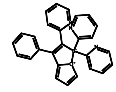 c1ccc(C2=C(c3ccccn3)[B-](c3ccccn3)(c3ccccn3)[o+]3cccc32)cc1